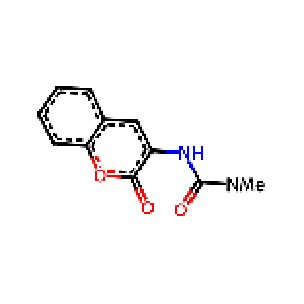 CNC(=O)Nc1cc2ccccc2oc1=O